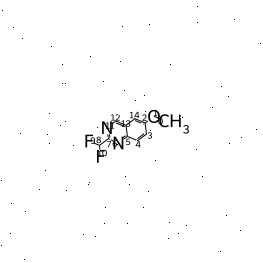 COc1ccc2nc(C(F)F)ncc2c1